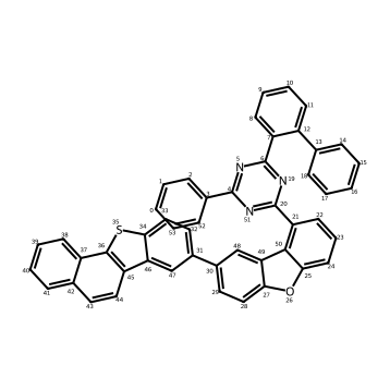 c1ccc(-c2nc(-c3ccccc3-c3ccccc3)nc(-c3cccc4oc5ccc(-c6ccc7sc8c9ccccc9ccc8c7c6)cc5c34)n2)cc1